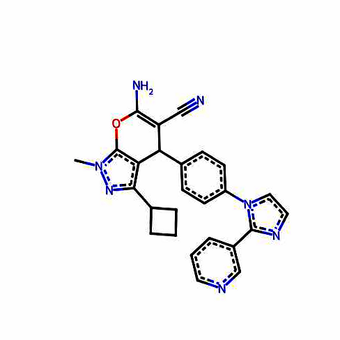 Cn1nc(C2CCC2)c2c1OC(N)=C(C#N)C2c1ccc(-n2ccnc2-c2cccnc2)cc1